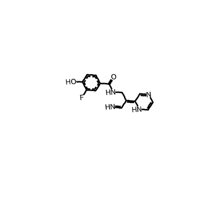 N=C/C(CNC(=O)c1ccc(O)c(F)c1)=C1/C=NC=CN1